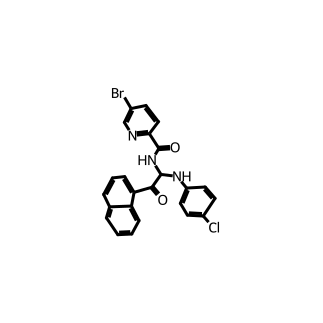 O=C(NC(Nc1ccc(Cl)cc1)C(=O)c1cccc2ccccc12)c1ccc(Br)cn1